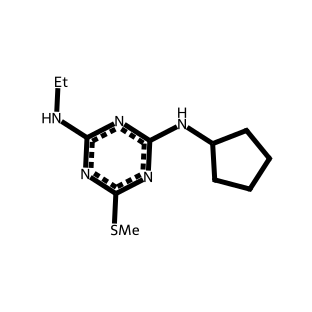 CCNc1nc(NC2CCCC2)nc(SC)n1